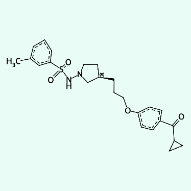 Cc1cccc(S(=O)(=O)NN2CC[C@@H](CCCOc3ccc(C(=O)C4CC4)cc3)C2)c1